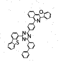 c1ccc(-c2cccc(-c3nc(-c4ccc(-c5nc6c7ccccc7oc6c6ccccc56)cc4)nc(-c4cccc5c4sc4ccccc45)n3)c2)cc1